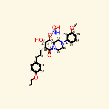 CCOc1ccc(CCC[C@@H](C(=O)N2CCN(c3cccc(OC)c3)CC2)[C@H](O)CONO)cc1